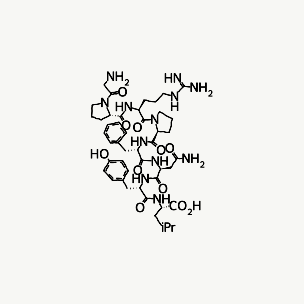 CC(C)C[C@H](NC(=O)[C@H](Cc1ccc(O)cc1)NC(=O)[C@H](CC(N)=O)NC(=O)[C@H](Cc1ccccc1)NC(=O)[C@@H]1CCCN1C(=O)[C@H](CCCNC(=N)N)NC(=O)[C@@H]1CCCN1C(=O)CN)C(=O)O